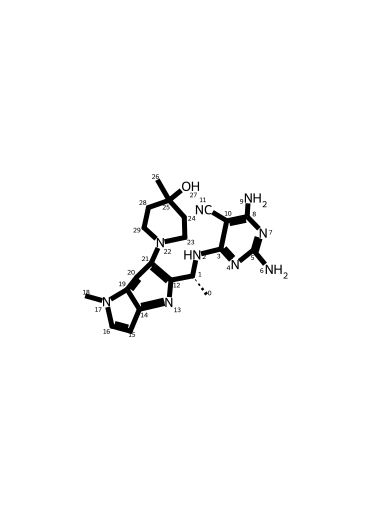 C[C@@H](Nc1nc(N)nc(N)c1C#N)c1nc2ccn(C)c2cc1N1CCC(C)(O)CC1